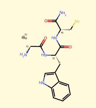 CC[C@H](C)[C@H](N)C(=O)N[C@@H](Cc1c[nH]c2ccccc12)C(=O)N[C@@H](CS)C(N)=O